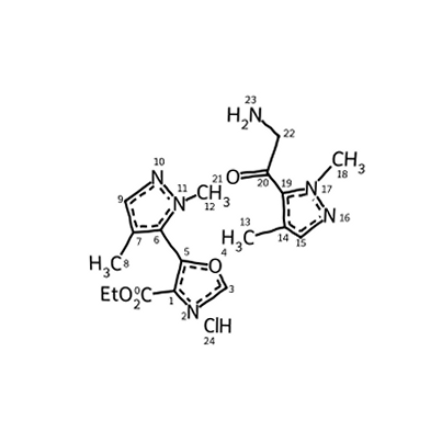 CCOC(=O)c1ncoc1-c1c(C)cnn1C.Cc1cnn(C)c1C(=O)CN.Cl